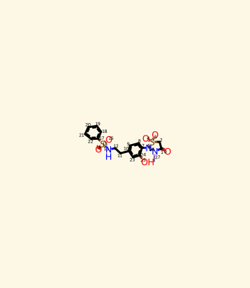 O=C1CS(=O)(=O)N(c2ccc(CCNS(=O)(=O)c3ccccc3)cc2O)N1I